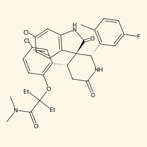 CCC(CC)(Oc1ccc(Cl)cc1[C@H]1CC(=O)N[C@@H](c2cc(F)ccc2C)[C@]12C(=O)Nc1cc(Cl)ccc12)C(=O)N(C)C